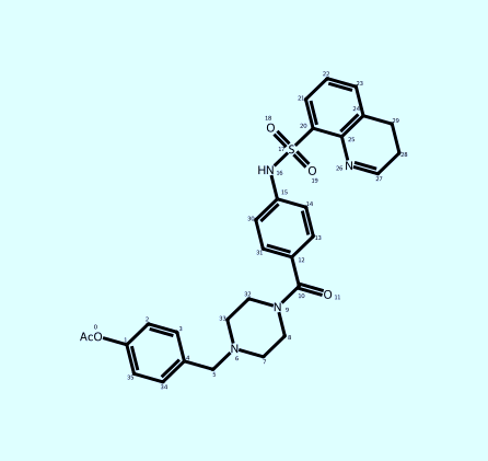 CC(=O)Oc1ccc(CN2CCN(C(=O)c3ccc(NS(=O)(=O)c4cccc5c4N=CCC5)cc3)CC2)cc1